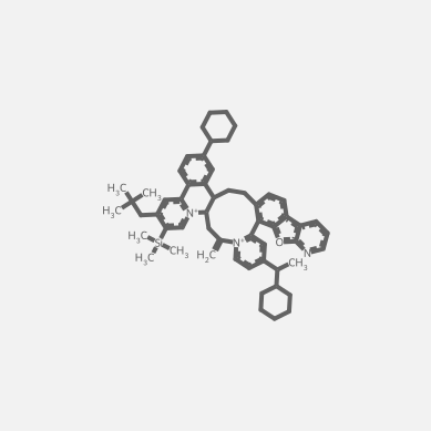 C=C1CC2C(CCc3ccc4c(oc5ncccc54)c3-c3cc(C(C)C4CCCCC4)cc[n+]31)c1cc(C3CCCCC3)ccc1-c1cc(CC(C)(C)C)c([Si](C)(C)C)c[n+]12